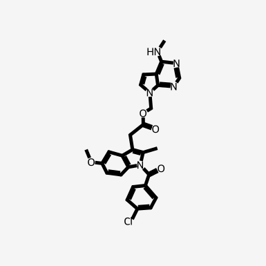 CNc1ncnc2c1ccn2COC(=O)Cc1c(C)n(C(=O)c2ccc(Cl)cc2)c2ccc(OC)cc12